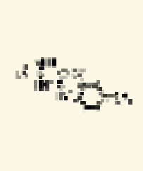 Cc1ccc(NC(=O)NC(=N)N)c(Cl)c1